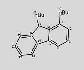 CCCCc1cccc2c1C(CCCC)c1ccccc1-2